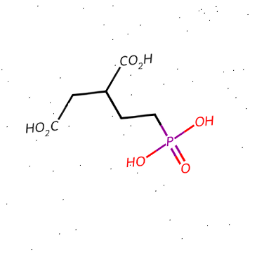 O=C(O)CC(CCP(=O)(O)O)C(=O)O